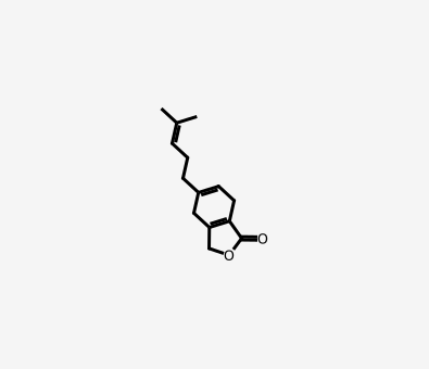 CC(C)=CCCC1=CCC2=C(COC2=O)C1